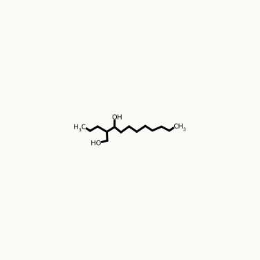 CCCCCCCCC(O)C(CO)CCC